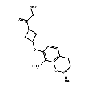 CNCC(=O)N1CC(Oc2ccc3c(c2C(=O)O)OB(O)CC3)C1